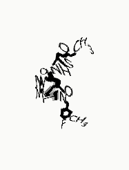 CCC(=O)c1cc(CNC(=O)c2cc(C(=O)NCc3ccc(F)c(C)c3)nc3ncnn23)cs1